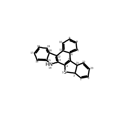 C1=CC2Sc3c(c4ccccc4c4c3[nH]c3ccccc34)C2C=C1